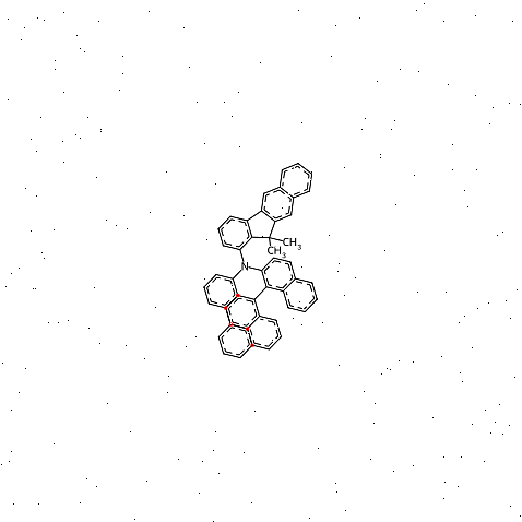 CC1(C)c2cc3ccccc3cc2-c2cccc(N(c3cccc(-c4ccccc4)c3)c3ccc4ccccc4c3-c3cccc4ccccc34)c21